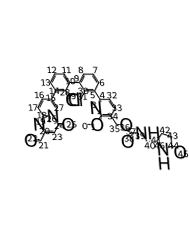 COc1nc(-c2cccc(-c3cccc(-c4ccc5nc(C=O)cc(=O)n5c4)c3Cl)c2Cl)ccc1COC(=O)NC[C@@H]1CCC(=O)N1